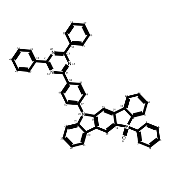 O=P1(c2ccccc2)c2ccccc2-c2cc3c(cc21)c1ccccc1n3-c1ccc(-c2nc(-c3ccccc3)nc(-c3ccccc3)n2)cc1